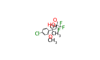 COc1cc(Cl)ccc1C(C)(C)CC(O)(C=O)C(F)(F)F